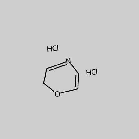 C1=COCC=N1.Cl.Cl